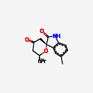 CCC[C@H]1CC(=O)C[C@@]2(O1)C(=O)Nc1ccc(C)cc12